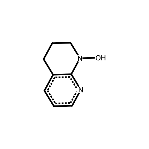 ON1CCCc2cccnc21